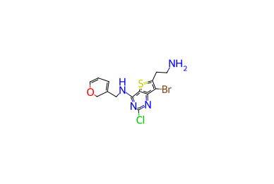 NCCc1sc2c(NCC3=CC=COC3)nc(Cl)nc2c1Br